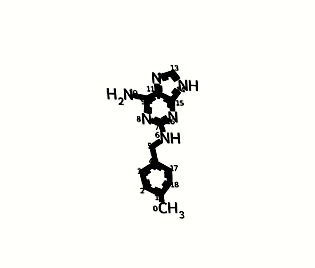 Cc1ccc(CNc2nc(N)c3nc[nH]c3n2)cc1